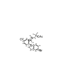 CC(=O)OC(C)(C)CN(C)C(=O)C[C@@]1(c2ccc(Cl)cc2)CCc2cc(Br)ccc21